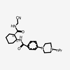 CCCN1CCN(c2ccc(C(=O)N[C@H]3CCCC[C@H]3C(=O)NCC#N)cc2)CC1